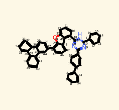 c1ccc(-c2ccc(C3=NC(c4ccccc4)NC(c4cccc5oc6c(-c7ccc8c9ccccc9c9ccccc9c8c7)cccc6c45)=N3)cc2)cc1